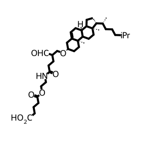 CC(C)CCC[C@@H](C)[C@H]1CCC2[C@@H]3CC=C4C[C@@H](OCC(C=O)CCC(=O)NCCOC(=O)CCCC(=O)O)CC[C@]4(C)C3CC[C@@]21C